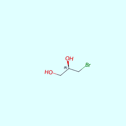 OC[C@@H](O)CBr